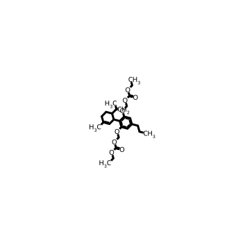 C=C(C)C1CCC(C)=CC1c1c(OCOC(=O)OCC)cc(CCC)cc1OCOC(=O)OCC